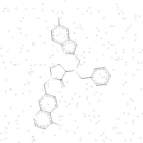 Nc1ccnc2cc(CN3CCC(N(Cc4ccccc4)Cc4cc5cc(Cl)ccc5[nH]4)C3=O)ccc12